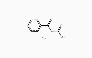 O=C(O)CC(=O)c1ccccc1.[Co]